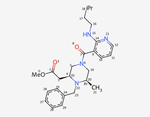 COC(=O)C[C@H]1CN(C(=O)c2cccnc2NCCC(C)C)C[C@@H](C)N1Cc1ccccc1